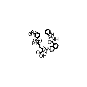 C[N+](=O)c1cccc(S(=O)(=O)NCCc2sc(N3CCc4cccc(C(=O)Nc5nc6ccccc6s5)c4C3)nc2C(=O)O)c1